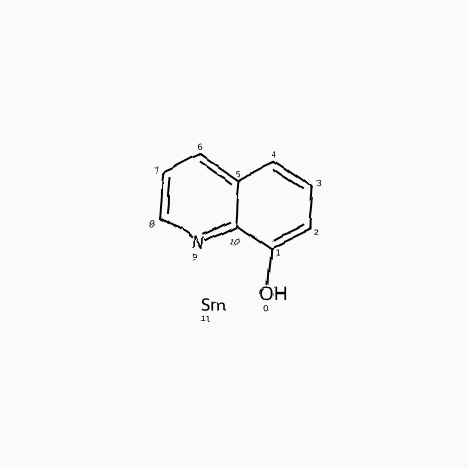 Oc1cccc2cccnc12.[Sm]